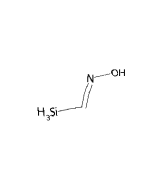 ON=C[SiH3]